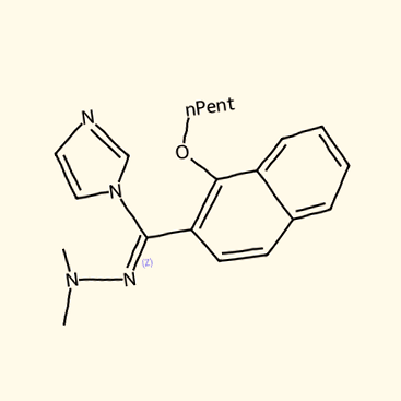 CCCCCOc1c(/C(=N/N(C)C)n2ccnc2)ccc2ccccc12